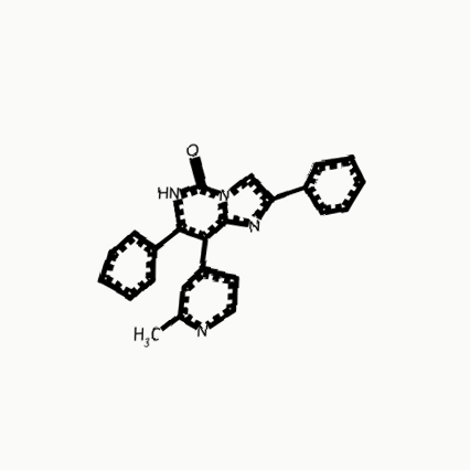 Cc1cc(-c2c(-c3ccccc3)[nH]c(=O)n3cc(-c4ccccc4)nc23)ccn1